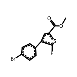 COC(=O)c1cc(-c2ccc(Br)cc2)c(F)s1